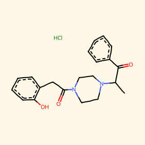 CC(C(=O)c1ccccc1)N1CCN(C(=O)Cc2ccccc2O)CC1.Cl